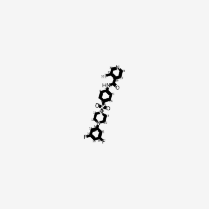 O=C(Nc1ccc(S(=O)(=O)N2CCN(c3cc(F)cc(F)c3)CC2)cc1)c1ccncc1I